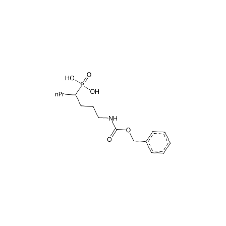 CCCC(CCCNC(=O)OCc1ccccc1)P(=O)(O)O